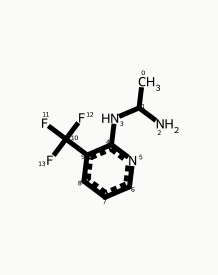 CC(N)Nc1ncccc1C(F)(F)F